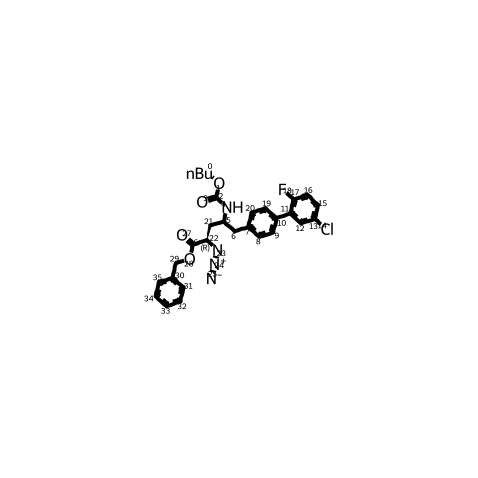 CCCCOC(=O)NC(Cc1ccc(-c2cc(Cl)ccc2F)cc1)C[C@@H](N=[N+]=[N-])C(=O)OCc1ccccc1